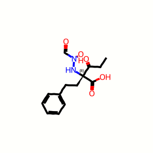 CCC(=O)[C@@](CCc1ccccc1)(NN(O)C=O)C(=O)O